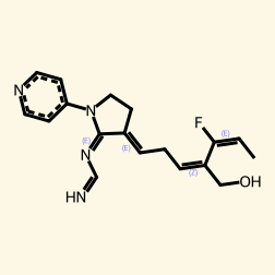 C/C=C(F)\C(=C/C/C=C1\CCN(c2ccncc2)\C1=N\C=N)CO